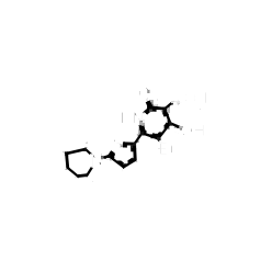 CCc1c(-c2ccc(N3CCCCC3)s2)[nH]c(=O)c(C(=O)O)c1O